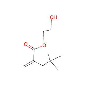 C=C(CC(C)(C)C)C(=O)OCCO